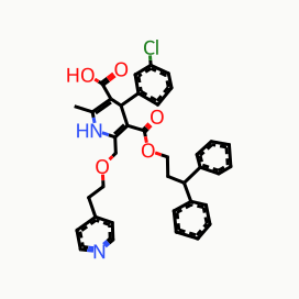 CC1=C(C(=O)O)C(c2cccc(Cl)c2)C(C(=O)OCCC(c2ccccc2)c2ccccc2)=C(COCCc2ccncc2)N1